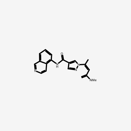 C=C(/C=C(/C)n1cc(C(=O)Nc2cccc3cnccc23)cn1)NC